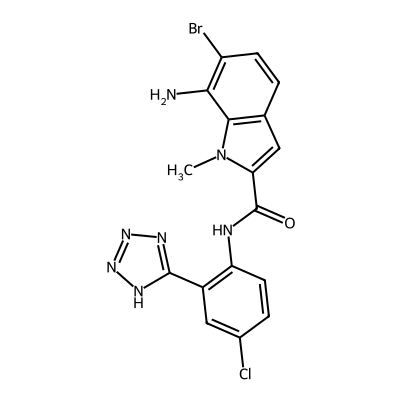 Cn1c(C(=O)Nc2ccc(Cl)cc2-c2nnn[nH]2)cc2ccc(Br)c(N)c21